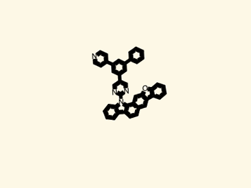 c1ccc(-c2cc(-c3ccncc3)cc(-c3cnc(-n4c5ccccc5c5ccc6cc7c(cc6c54)oc4ccccc47)nc3)c2)cc1